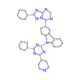 c1ccc(-c2nc(-c3ccncc3)nc(-n3c4ccccc4c4cc(-c5ncnc6nc(-c7ccccc7)nn56)ccc43)n2)cc1